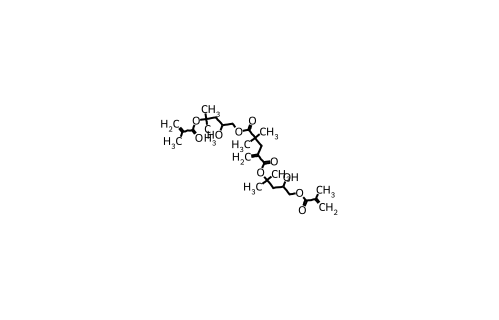 C=C(C)C(=O)OCC(O)CC(C)(C)OC(=O)C(=C)CC(C)(C)C(=O)OCC(O)CC(C)(C)OC(=O)C(=C)C